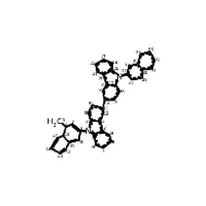 CC1C=C(n2c3ccccc3c3cc(-c4ccc5c(c4)c4ccccc4n5-c4ccc5ccccc5c4)ccc32)C=C2C=CC=CC21